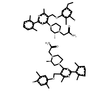 CCc1cc(F)c(C)c(OCc2c(C)nc(-c3c(C)cccc3C)nc2N2CCN(CC(N)=O)[C@H](C)C2)c1.Cc1cc(OCc2c(C)nc(-c3c(C)cccc3C)nc2N2CCN(CC(N)=O)[C@H](C)C2)c(C)cc1F